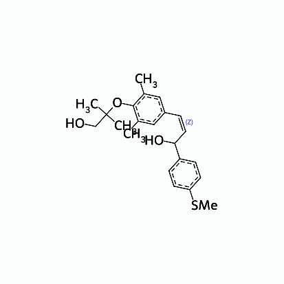 CSc1ccc(C(O)/C=C\c2cc(C)c(OC(C)(C)CO)c(C)c2)cc1